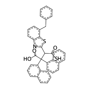 O=C(S)C(c1nc2cccc(Cc3ccccc3)c2s1)C(C(=O)O)(c1cccc2ccccc12)c1cccc2ccccc12